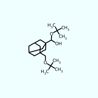 CC(C)(C)OCC12CC3CC(C1)CC(C(O)OC(C)(C)C)(C3)C2